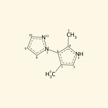 Cc1c[nH]c(C)c1-n1cccn1